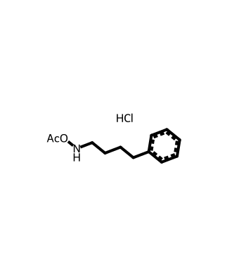 CC(=O)ONCCCCc1ccccc1.Cl